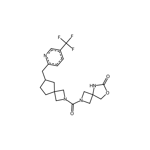 O=C1NC2(CO1)CN(C(=O)N1CC3(CCC(Cc4ccc(C(F)(F)F)cn4)C3)C1)C2